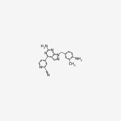 Cc1cc(Cn2ncc3c(-c4ccnc(C#N)c4)nc(N)nc32)ccc1N